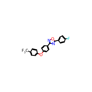 Fc1ccc(-c2nc(-c3ccc(Oc4ccc(C(F)(F)F)cc4)cc3)no2)cc1